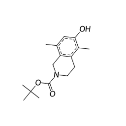 Cc1cc(O)c(C)c2c1CN(C(=O)OC(C)(C)C)CC2